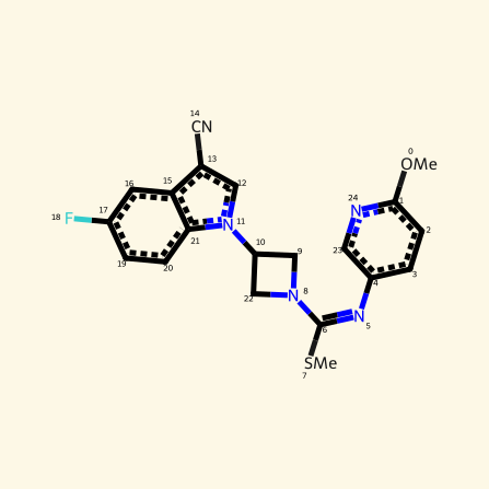 COc1ccc(/N=C(/SC)N2CC(n3cc(C#N)c4cc(F)ccc43)C2)cn1